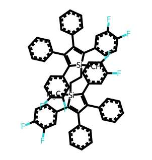 C[Si]1(CC[Si]2(C)C(c3ccc(F)c(F)c3)=C(c3ccccc3)C(c3ccccc3)=C2c2ccc(F)c(F)c2)C(c2ccc(F)c(F)c2)=C(c2ccccc2)C(c2ccccc2)=C1c1ccc(F)c(F)c1